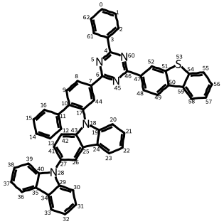 c1ccc(-c2nc(-c3ccc(-c4ccccc4)c(-n4c5ccccc5c5cc(-n6c7ccccc7c7ccccc76)ccc54)c3)nc(-c3ccc4c(c3)sc3ccccc34)n2)cc1